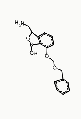 NCC1OB(O)c2c(OCOCc3ccccc3)cccc21